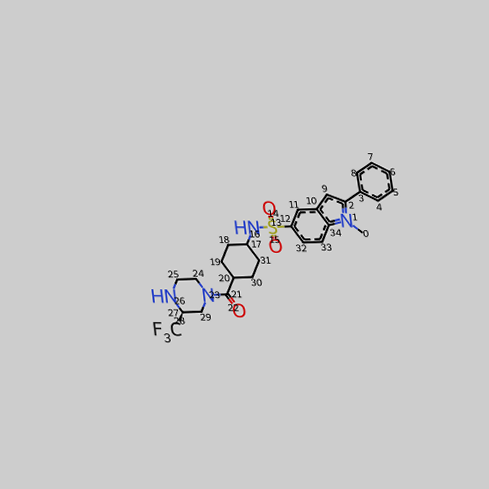 Cn1c(-c2ccccc2)cc2cc(S(=O)(=O)NC3CCC(C(=O)N4CCN[C@H](C(F)(F)F)C4)CC3)ccc21